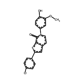 COc1cc(-n2ccc3cc(-c4ccc(Cl)cc4)sc3c2=O)ccc1O